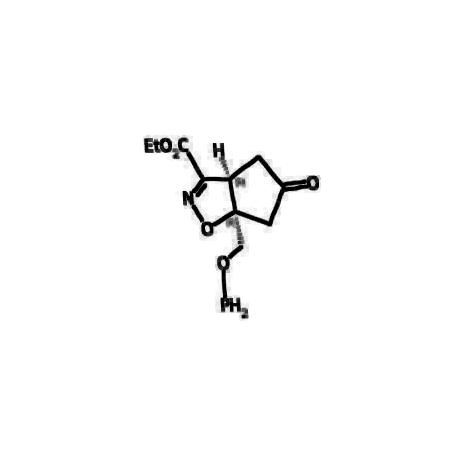 CCOC(=O)C1=NO[C@]2(COP)CC(=O)C[C@H]12